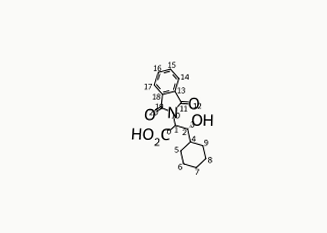 O=C(O)C([C@H](O)C1CCCCC1)N1C(=O)c2ccccc2C1=O